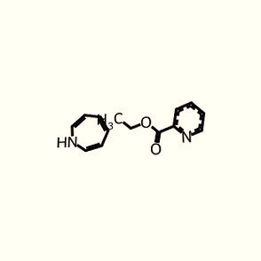 C1=CC=CNC=C1.CCOC(=O)c1ccccn1